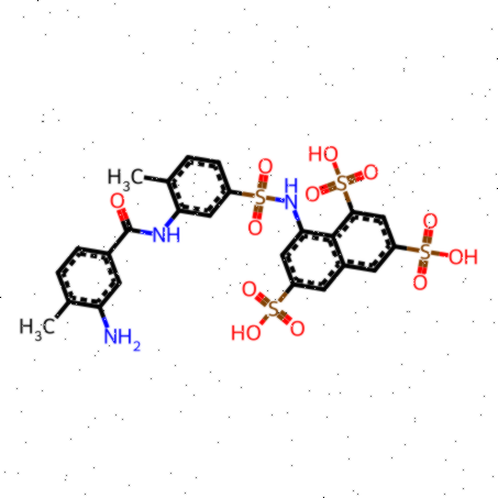 Cc1ccc(C(=O)Nc2cc(S(=O)(=O)Nc3cc(S(=O)(=O)O)cc4cc(S(=O)(=O)O)cc(S(=O)(=O)O)c34)ccc2C)cc1N